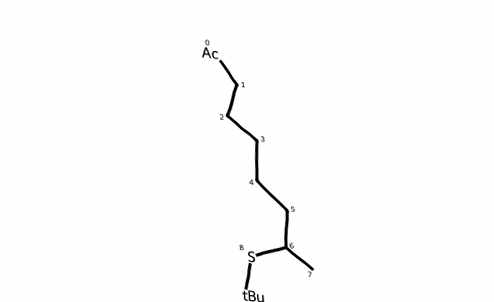 CC(=O)CCCCCC(C)SC(C)(C)C